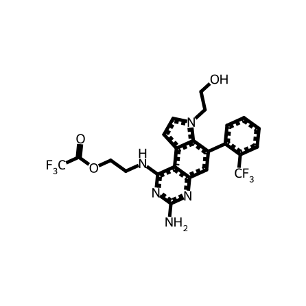 Nc1nc(NCCOC(=O)C(F)(F)F)c2c(cc(-c3ccccc3C(F)(F)F)c3c2ccn3CCO)n1